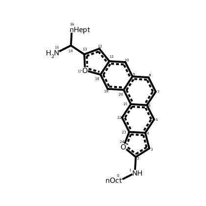 CCCCCCCCNc1cc2cc3ccc4cc5cc(C(N)CCCCCCC)oc5cc4c3cc2o1